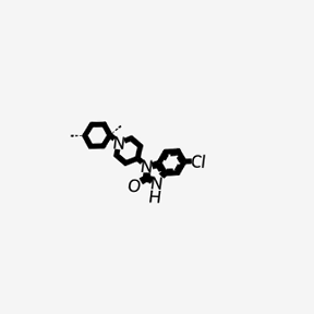 C[C@H]1CC[C@](C)(N2CCC(n3c(=O)[nH]c4cc(Cl)ccc43)CC2)CC1